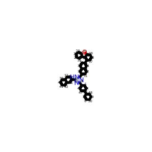 C1=CC(c2ccc(C3=NC(c4ccc5cc(-c6cccc7oc8ccccc8c67)ccc5c4)NC(c4ccc5ccccc5c4)=N3)cc2)=CCC1